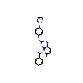 O=c1ccc2cnc(Nc3ccc(-n4cccn4)cc3)nc2n1C(c1ccccc1)C(Cl)(Cl)Cl